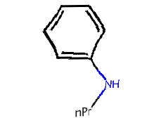 C[CH]CNc1ccccc1